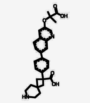 CC(C)(Oc1cnc2cc(-c3ccc(C4(C(=O)O)CC5(CCNCC5)C4)cc3)ccc2c1)C(=O)O